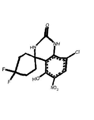 O=C1Nc2c(Cl)cc([N+](=O)[O-])c(O)c2C2(CCC(F)(F)CC2)N1